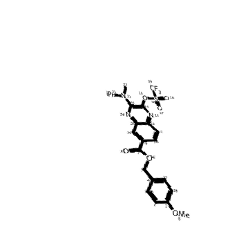 COc1ccc(COC(=O)c2ccc3nc(OS(=O)(=O)C(F)(F)F)c(N(C)C(C)C)nc3c2)cc1